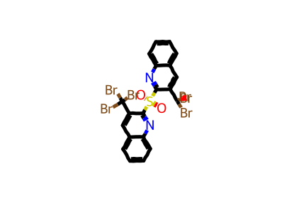 O=S(=O)(c1nc2ccccc2cc1C(Br)(Br)Br)c1nc2ccccc2cc1C(Br)(Br)Br